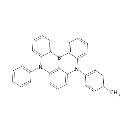 Cc1ccc(N2c3ccccc3B3c4ccccc4N(c4ccccc4)c4cccc2c43)cc1